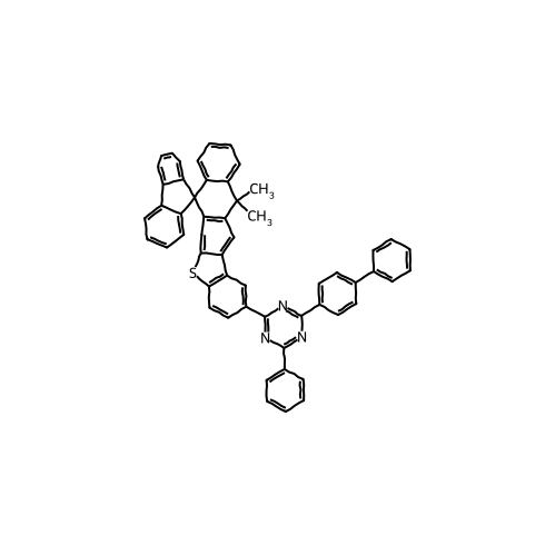 CC1(C)c2ccccc2C2(c3ccccc3-c3ccccc32)c2cc3sc4ccc(-c5nc(-c6ccccc6)nc(-c6ccc(-c7ccccc7)cc6)n5)cc4c3cc21